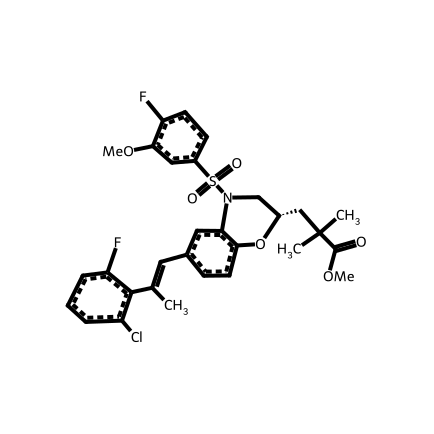 COC(=O)C(C)(C)C[C@H]1CN(S(=O)(=O)c2ccc(F)c(OC)c2)c2cc(/C=C(\C)c3c(F)cccc3Cl)ccc2O1